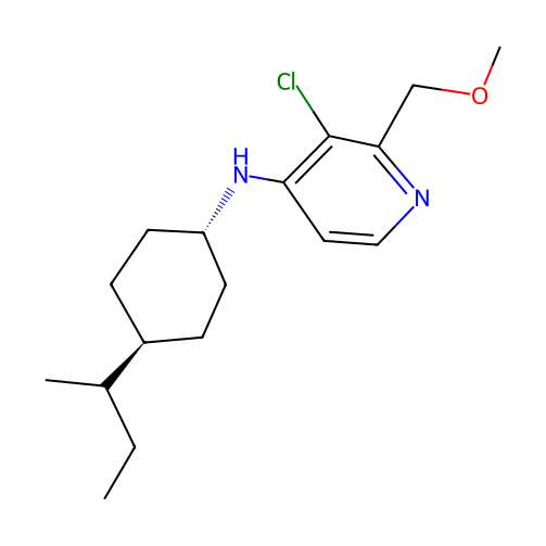 CCC(C)[C@H]1CC[C@H](Nc2ccnc(COC)c2Cl)CC1